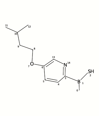 CB(S)c1ccc(OCCC(C)C)cn1